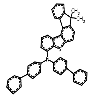 CC1(C)c2ccccc2-c2c1ccc1sc3c(N(c4ccc(-c5ccccc5)cc4)c4ccc(-c5ccccc5)cc4)cccc3c21